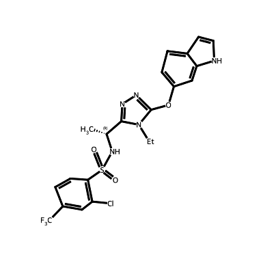 CCn1c(Oc2ccc3cc[nH]c3c2)nnc1[C@@H](C)NS(=O)(=O)c1ccc(C(F)(F)F)cc1Cl